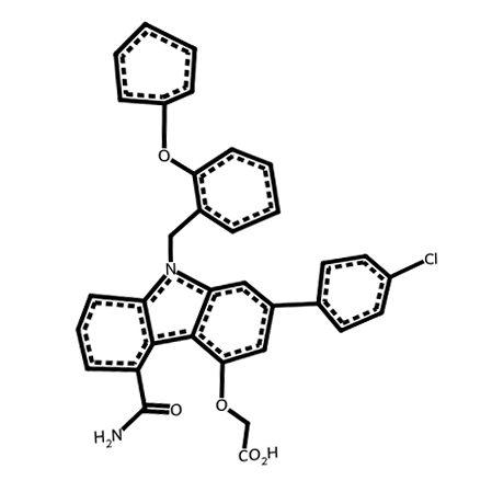 NC(=O)c1cccc2c1c1c(OCC(=O)O)cc(-c3ccc(Cl)cc3)cc1n2Cc1ccccc1Oc1ccccc1